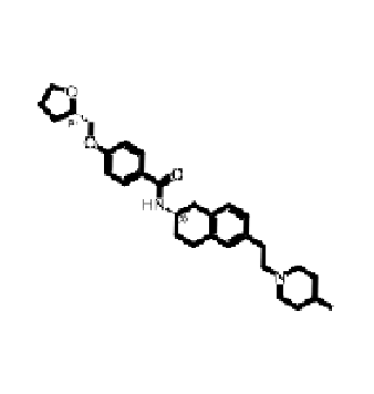 CC1CCN(CCc2ccc3c(c2)CC[C@H](NC(=O)c2ccc(OC[C@@H]4CCCO4)cc2)C3)CC1